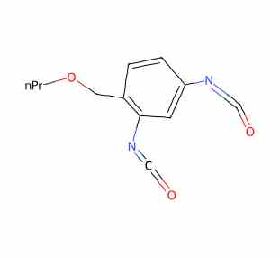 CCCOCc1ccc(N=C=O)cc1N=C=O